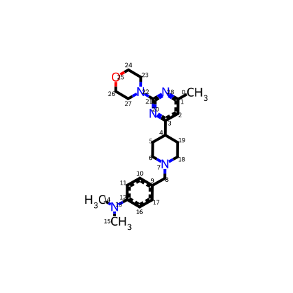 Cc1cc(C2CCN(Cc3ccc(N(C)C)cc3)CC2)nc(N2CCOCC2)n1